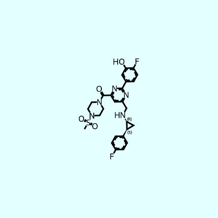 CS(=O)(=O)N1CCN(C(=O)c2cc(CN[C@@H]3C[C@H]3c3ccc(F)cc3)nc(-c3ccc(F)c(O)c3)n2)CC1